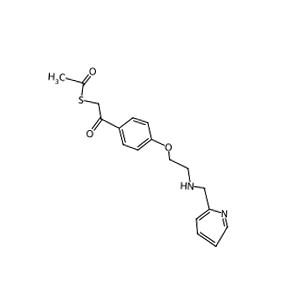 CC(=O)SCC(=O)c1ccc(OCCNCc2ccccn2)cc1